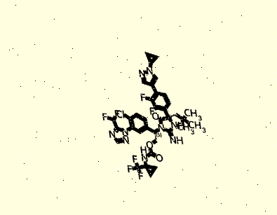 CC(C)(C)C[C@]1(c2ccc(-c3cnn(C4CC4)c3)c(F)c2F)NC(=N)N([C@H](COC(=O)NC2(C(F)(F)F)CC2)c2ccc(Cl)c(-n3ncnc3C(F)F)c2)C1=O